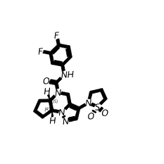 O=C(Nc1ccc(F)c(F)c1)N1Cc2c(N3CCCS3(=O)=O)cnn2[C@@H]2CCC[C@@H]21